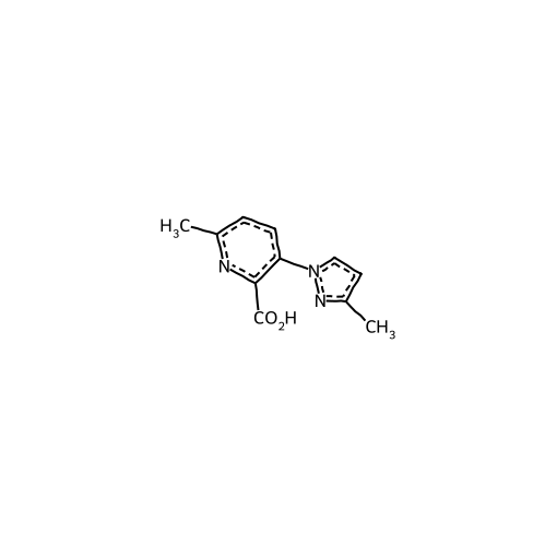 Cc1ccc(-n2ccc(C)n2)c(C(=O)O)n1